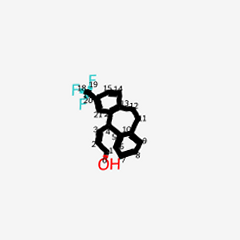 OC/C=C\C1c2ccccc2CCc2ccc(C(F)(F)F)cc21